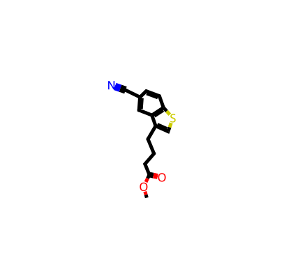 COC(=O)CCCc1csc2ccc(C#N)cc12